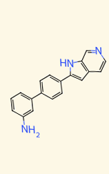 Nc1cccc(-c2ccc(-c3cc4ccncc4[nH]3)cc2)c1